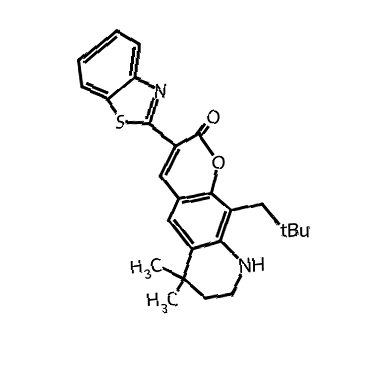 CC(C)(C)Cc1c2c(cc3cc(-c4nc5ccccc5s4)c(=O)oc13)C(C)(C)CCN2